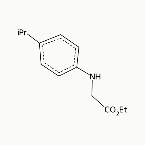 CCOC(=O)CNc1ccc(C(C)C)cc1